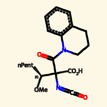 CCCCC[C@H](OC)C(N=C=O)(C(=O)O)C(=O)N1CCCc2ccccc21